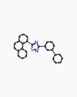 c1ccc(-c2cccc(-c3nsc(-c4cccc5ccc6ccccc6c45)n3)c2)cc1